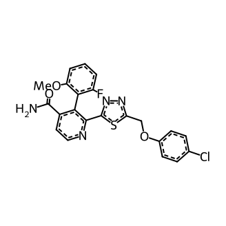 COc1cccc(F)c1-c1c(C(N)=O)ccnc1-c1nnc(COc2ccc(Cl)cc2)s1